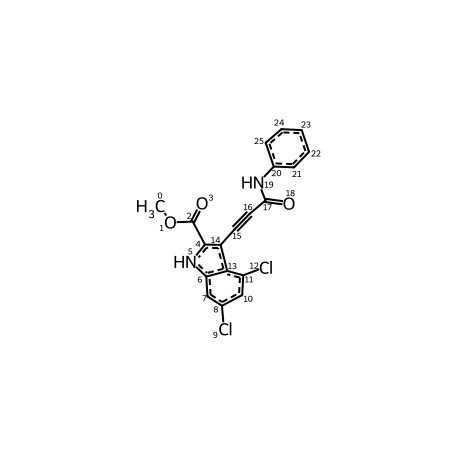 COC(=O)c1[nH]c2cc(Cl)cc(Cl)c2c1C#CC(=O)Nc1ccccc1